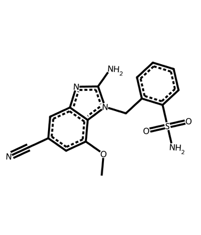 COc1cc(C#N)cc2nc(N)n(Cc3ccccc3S(N)(=O)=O)c12